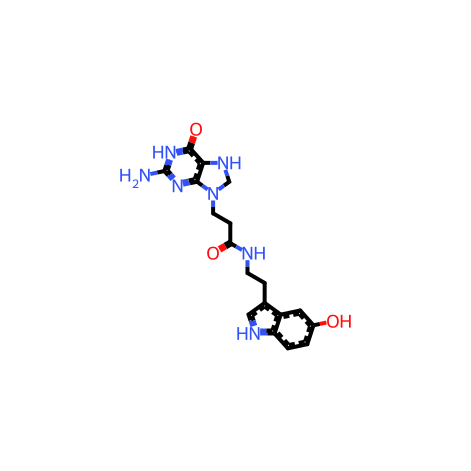 Nc1nc2c(c(=O)[nH]1)NCN2CCC(=O)NCCc1c[nH]c2ccc(O)cc12